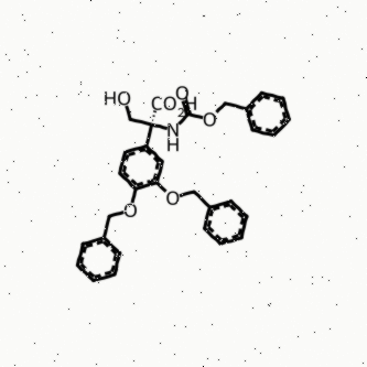 O=C(N[C@@](CO)(C(=O)O)c1ccc(OCc2ccccc2)c(OCc2ccccc2)c1)OCc1ccccc1